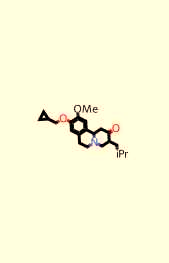 COc1cc2c(cc1OCC1CC1)CCN1CC(CC(C)C)C(=O)CC21